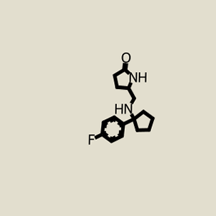 O=C1CCC(CNC2(c3ccc(F)cc3)CCCC2)N1